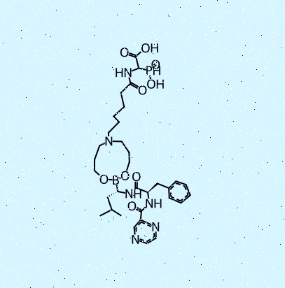 CC(C)C[C@@H](NC(=O)[C@@H](Cc1ccccc1)NC(=O)c1cnccn1)B1OCCCN(CCCCCC(=O)NC(C(=O)O)[PH](=O)O)CCCO1